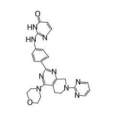 O=c1ccnc(Nc2ccc(-c3nc4c(c(N5CCOCC5)n3)CCN(c3ncccn3)C4)cc2)[nH]1